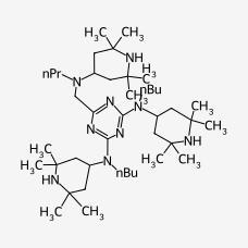 CCCCN(c1nc(CN(CCC)C2CC(C)(C)NC(C)(C)C2)nc(N(CCCC)C2CC(C)(C)NC(C)(C)C2)n1)C1CC(C)(C)NC(C)(C)C1